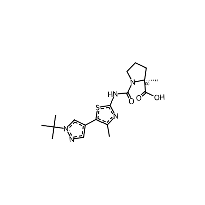 Cc1nc(NC(=O)N2CCC[C@@]2(C)C(=O)O)sc1-c1cnn(C(C)(C)C)c1